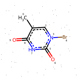 Cc1cn(Br)c(=O)[nH]c1=O